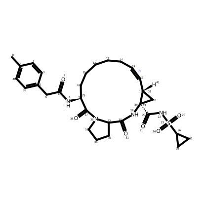 Cc1ccc(CC(=O)N[C@H]2CCCCC/C=C\[C@@H]3C[C@@]3(C(=O)NS(=O)(=O)C3CC3)NC(=O)C3CCCN3C2=O)cc1